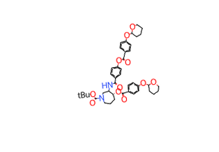 CC(C)(C)OC(=O)N1CCC[C@@H](OC(=O)c2ccc(OC3CCCCO3)cc2)[C@H](NC(=O)c2ccc(OC(=O)c3ccc(OC4CCCCO4)cc3)cc2)C1